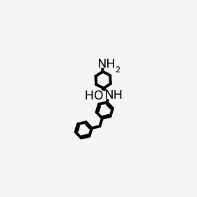 NC1CCC(O)(Nc2ccc(Cc3ccccc3)cc2)CC1